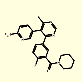 Cc1ncnc(-c2ccc(F)c(C(=O)N3CCCCC3)c2)c1-c1ccc(N)nc1